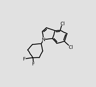 FC1(F)CCC(n2ccc3c(Cl)cc(Cl)cc32)CC1